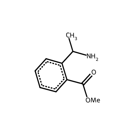 COC(=O)c1ccccc1C(C)N